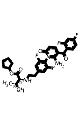 C[C@@H](O)[C@H](NCCc1cc(F)c(-n2c(N)c(C(=O)c3ccc(F)cc3F)ccc2=O)c(F)c1)C(=O)OC1CCCC1